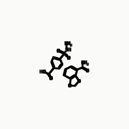 NC(=O)c1cccc2c1OCO2.NNS(=O)(=O)c1ccc(C(=O)O)cc1